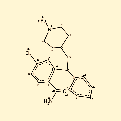 CCCCN1CCC(CC(c2ccccc2)c2cc(Cl)ccc2C(N)=O)CC1